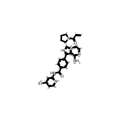 C=CC(=O)N1CCC[C@H]1c1nc(-c2ccc(C(=O)Nc3cc(CC)ccn3)cc2)c2c(N)nccn12